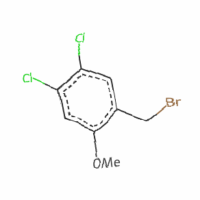 COc1cc(Cl)c(Cl)cc1CBr